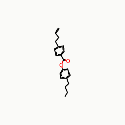 C=CCCc1ccc(C(=O)Oc2ccc(CCCC)cc2)cc1